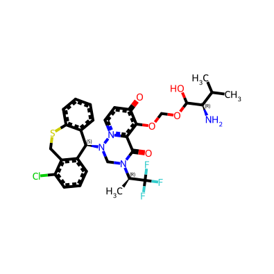 CC(C)[C@@H](N)C(O)OCOc1c2n(ccc1=O)N([C@@H]1c3ccccc3SCc3c(Cl)cccc31)CN([C@H](C)C(F)(F)F)C2=O